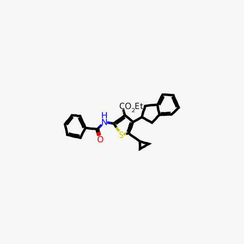 CCOC(=O)c1c(NC(=O)c2ccccc2)sc(C2CC2)c1C1Cc2ccccc2C1